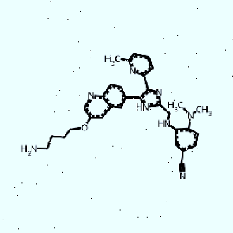 Cc1cccc(-c2nc(CNc3cc(C#N)ccc3N(C)C)[nH]c2-c2ccc3ncc(OCCCCN)cc3c2)n1